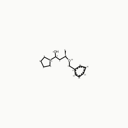 C[C@H](CC(O)N1CCCC1)OCc1ccccc1